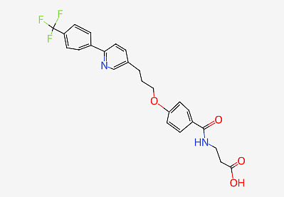 O=C(O)CCNC(=O)c1ccc(OCCCc2ccc(-c3ccc(C(F)(F)F)cc3)nc2)cc1